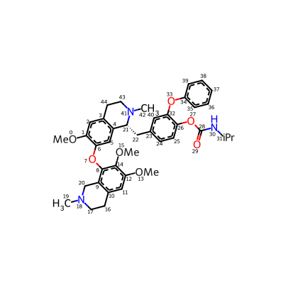 COc1cc2c(cc1Oc1c3c(cc(OC)c1OC)CCN(C)C3)[C@@H](Cc1ccc(OC(=O)NC(C)C)c(Oc3ccccc3)c1)N(C)CC2